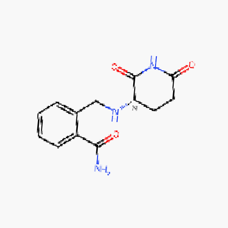 NC(=O)c1ccccc1CN[C@H]1CCC(=O)NC1=O